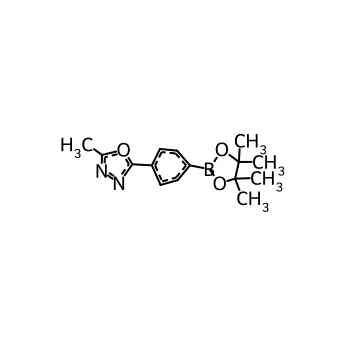 Cc1nnc(-c2ccc(B3OC(C)(C)C(C)(C)O3)cc2)o1